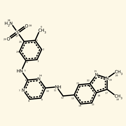 Cc1ccc(Nc2nccc(NCc3ccc4c(C)n(C)nc4c3)n2)cc1S(N)(=O)=O